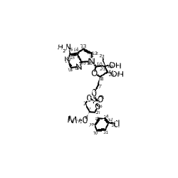 CO[C@@H]1COP(=O)(OC[C@H]2O[C@@H](n3ccc4c(N)ncnc43)[C@](C)(O)[C@@H]2O)O[C@@H]1c1cccc(Cl)c1